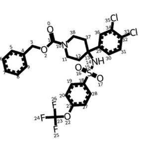 O=C(OCc1ccccc1)N1CCC(NS(=O)(=O)c2ccc(OC(F)(F)F)cc2)(c2ccc(Cl)c(Cl)c2)CC1